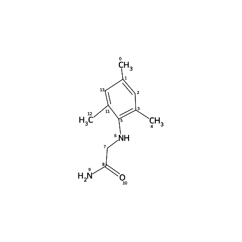 Cc1cc(C)c(NCC(N)=O)c(C)c1